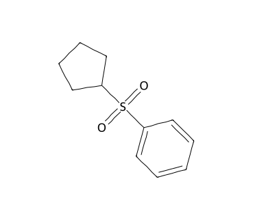 O=S(=O)(c1ccccc1)C1CCCC1